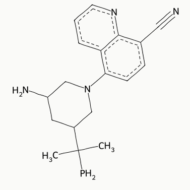 CC(C)(P)C1CC(N)CN(c2ccc(C#N)c3ncccc23)C1